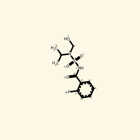 CC(C)N(CO)S(=O)(=O)NC(=O)c1ccccc1F